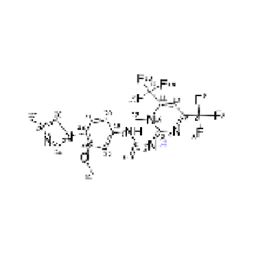 C=C(/N=c1/nc(C(F)(F)F)cc(C(F)(F)F)n1C)Nc1ccc(-n2cnc(C)c2)c(OC)c1